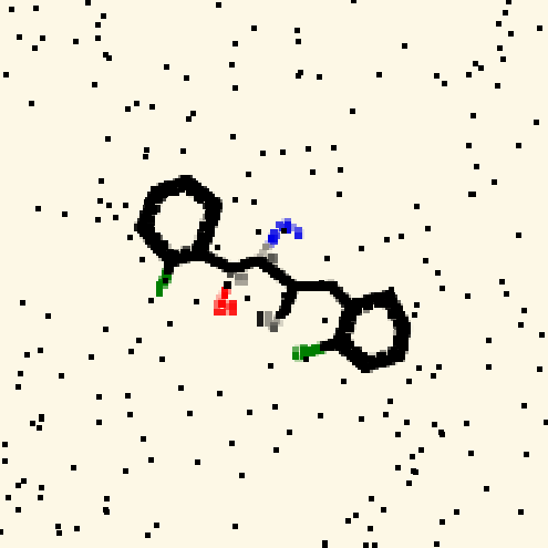 CC(Cc1ccccc1Cl)[C@@H](N)[C@H](O)c1ccccc1F